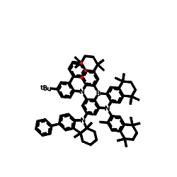 Cc1cc2c(cc1N1c3cc4c(cc3B3c5cc6c(cc5N(c5ccc(C(C)(C)C)cc5-c5ccccc5)c5cc(N7c8ccc(-c9ccccc9)cc8C8(C)CCCCC78C)cc1c53)C(C)(C)CCC6(C)C)C(C)(C)CCC4(C)C)C(C)(C)CCC2(C)C